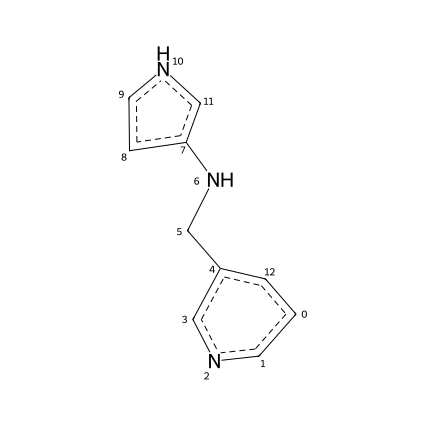 c1cncc(CNc2cc[nH]c2)c1